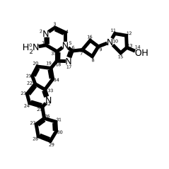 Nc1nccn2c(C3CC(N4CCC(O)C4)C3)nc(-c3ccc4ccc(-c5ccccc5)nc4c3)c12